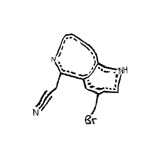 N#Cc1nccc2[nH]cc(Br)c12